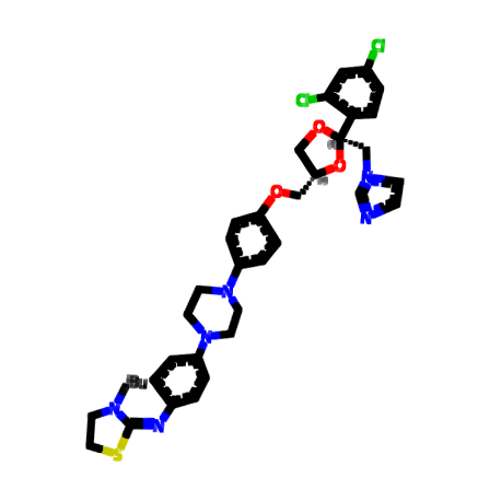 CCC(C)N1CCSC1=Nc1ccc(N2CCN(c3ccc(OC[C@@H]4CO[C@@](Cn5ccnc5)(c5ccc(Cl)cc5Cl)O4)cc3)CC2)cc1